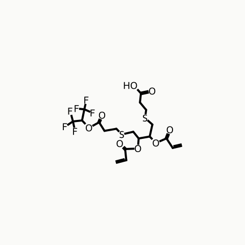 C=CC(=O)OC(CSCCC(=O)O)C(CSCCC(=O)OC(C(F)(F)F)C(F)(F)F)OC(=O)C=C